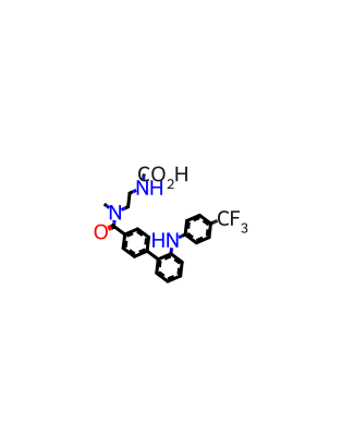 CN(CCNC(=O)O)C(=O)c1ccc(-c2ccccc2Nc2ccc(C(F)(F)F)cc2)cc1